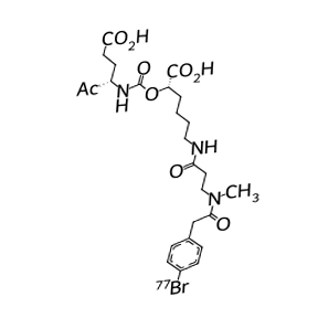 CC(=O)[C@H](CCC(=O)O)NC(=O)O[C@@H](CCCCNC(=O)CCN(C)C(=O)Cc1ccc([77Br])cc1)C(=O)O